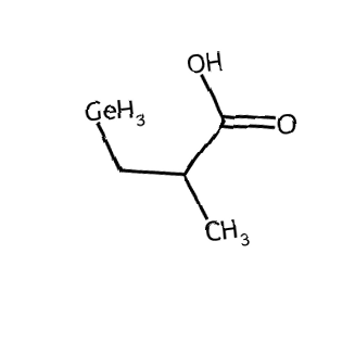 CC([CH2][GeH3])C(=O)O